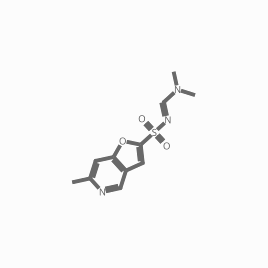 Cc1cc2oc(S(=O)(=O)N=CN(C)C)cc2cn1